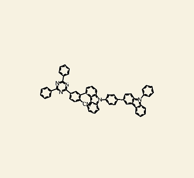 N#Cc1ccc(-c2nc(-c3ccccc3)nc(-c3ccccc3)n2)cc1-c1cccc2c1c1ccccc1n2-c1ccc(-c2ccc3c(c2)c2ccccc2n3-c2ccccc2)cc1